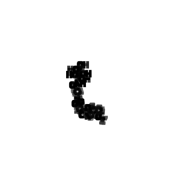 O=C(NC[C@H](O)[C@@H](O)[C@H](O)[C@H](O)CO)C1CCC(/C=N/S(=O)(=O)c2ccc(Cl)c(COC3(c4cnccc4-c4ccccc4OC4CC4)CC3)c2)CC1